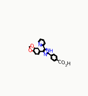 O=C(O)c1ccc(-c2nc(C3=CC=C4OCOC4C3)c(-c3ccccn3)[nH]2)cc1